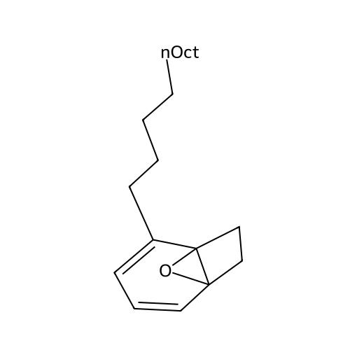 CCCCCCCCCCCCC1=CC=CC23CCC12O3